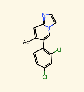 CC(=O)c1cc2nccn2cc1-c1ccc(Cl)cc1Cl